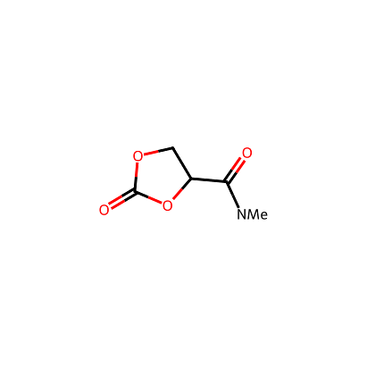 CNC(=O)C1COC(=O)O1